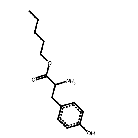 CCCCCOC(=O)C(N)Cc1ccc(O)cc1